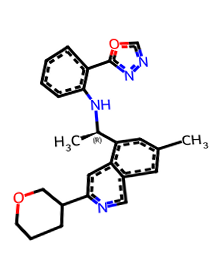 Cc1cc([C@@H](C)Nc2ccccc2-c2nnco2)c2cc(C3CCCOC3)ncc2c1